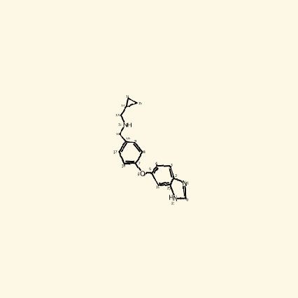 c1nc2ccc(Oc3ccc(CNCC4CC4)cc3)cc2[nH]1